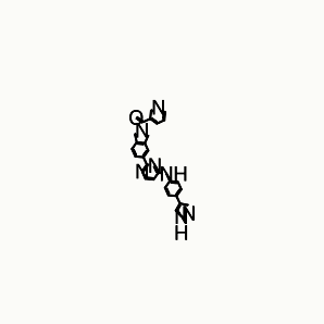 O=C(c1cccnc1)N1Cc2ccc(-c3nccc(Nc4ccc(-c5cn[nH]c5)cc4)n3)cc2C1